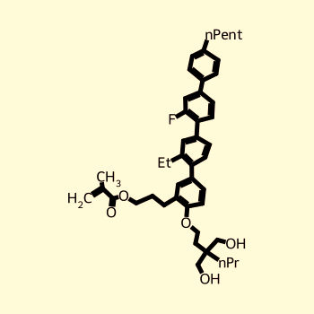 C=C(C)C(=O)OCCCc1cc(-c2ccc(-c3ccc(-c4ccc(CCCCC)cc4)cc3F)cc2CC)ccc1OCCC(CO)(CO)CCC